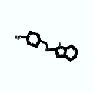 Cc1ccc(CNc2nc3ccccc3[nH]2)cc1